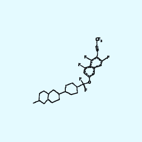 CC1CCC2CC(C3CCC(C(F)(F)Oc4cc(F)c5c(F)c(C#CC(F)(F)F)c(F)cc5c4)CC3)CCC2C1